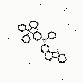 c1ccc(N(c2ccc(C3(c4ccccc4)c4ccccc4-c4ccccc43)cc2)c2ccc3ccc4c5ccccc5sc4c3c2)cc1